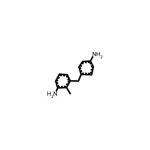 Cc1c(N)cccc1Cc1ccc(N)cc1